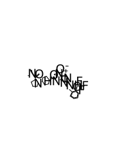 CN(C)C(=O)[C@@H]1CCCN1[C@H]1CC[C@H](CNc2nc(NCc3ccccc3OC(F)(F)F)ncc2[N+](=O)[O-])CC1